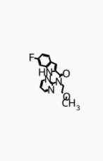 COCCN(C(=O)c1cc2ccc(F)cc2[nH]1)c1ncccn1